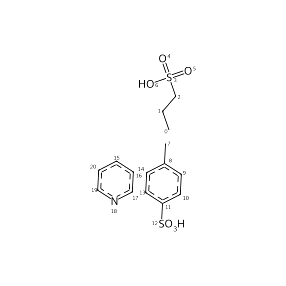 CCCS(=O)(=O)O.Cc1ccc(S(=O)(=O)O)cc1.c1ccncc1